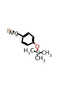 C[Si](C)(C)Oc1cc[c]([Mg][Br])cc1